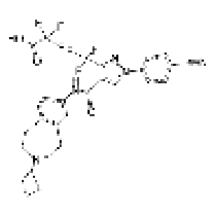 N#Cc1ccc(-n2cc(C(=O)Nc3ccc4c(c3)CCN(C3CCC3)CC4)c(C(F)(F)F)n2)cc1.O=C(O)C(F)(F)F